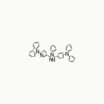 c1ccc(N(c2ccccc2)c2ccc(-c3nnc(-c4ccc(-n5c6ccccc6c6ccccc65)nc4)n3-c3ccccc3)cc2)cc1